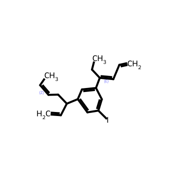 C=C/C=C(\CC)c1cc(I)cc(C(C=C)C/C=C\C)c1